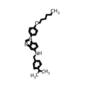 CCCCCCOc1ccc(-n2cnc3cc(NCc4ccc(C(C)C)cc4)ccc32)cc1